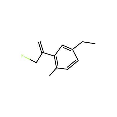 C=C(CF)c1cc(CC)ccc1C